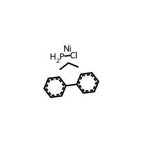 CCC.PCl.[Ni].c1ccc(-c2ccccc2)cc1